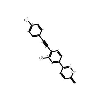 C=C1C=CC(c2ccc(C#Cc3ccc(C(F)(F)F)cc3)c(C(F)(F)F)c2)=NN1